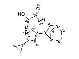 C1CC1c1nsc(C2CN3CCC2C3)n1.O=C(O)C(=O)O